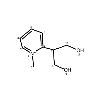 C[n+]1ccccc1C(CO)CO